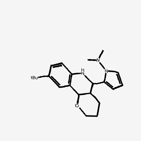 CN(C)n1cccc1C1Nc2ccc(C(C)(C)C)cc2C2OCCCC12